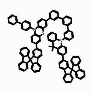 CC1(C)c2ccccc2N(c2cccc(-c3cccc(-c4cccc(-c5ccc6c(c5)Sc5cc(-c7ccc8c(c7)C7(c9ccccc9-c9ccccc97)c7ccccc7-8)ccc5N6c5ccc(-c6ccccc6)cc5)c4)c3)c2)c2ccc(-c3ccc4c(c3)C3(c5ccccc5-c5ccccc53)c3ccccc3-4)cc21